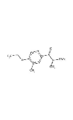 CON(C)C(=O)c1cc(C)c(OCC(F)(F)F)cn1